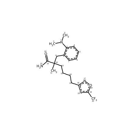 CN(C)c1ccccc1CC(C)(CCCCc1noc(C(F)(F)F)n1)C(N)=O